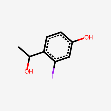 CC(O)c1ccc(O)cc1I